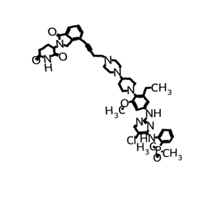 CCc1cc(Nc2ncc(Cl)c(Nc3ccccc3P(C)(C)=O)n2)cc(OC)c1N1CCC(N2CCN(CCC#Cc3cccc4c3CN(C3CCC(=O)NC3=O)C4=O)CC2)CC1